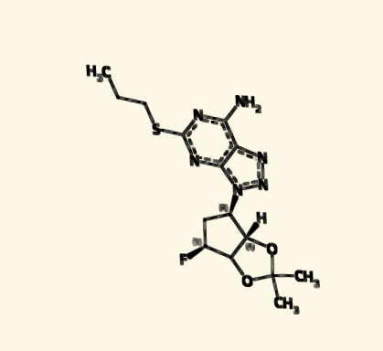 CCCSc1nc(N)c2nnn([C@@H]3C[C@H](F)C4OC(C)(C)O[C@H]43)c2n1